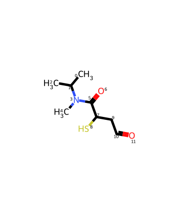 CC(C)N(C)C(=O)C(S)CC=O